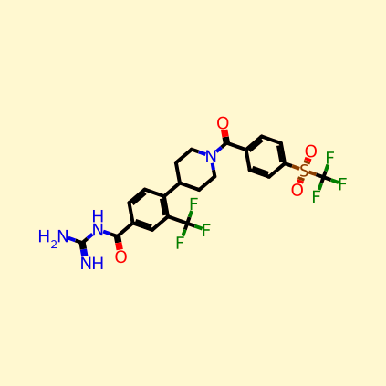 N=C(N)NC(=O)c1ccc(C2CCN(C(=O)c3ccc(S(=O)(=O)C(F)(F)F)cc3)CC2)c(C(F)(F)F)c1